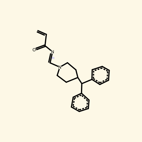 C=CC(=O)/N=C/N1CCC(C(c2ccccc2)c2ccccc2)CC1